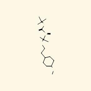 C=[N+](C(=O)OC(C)(C)C)C(C)(C)OCCC1CCC(OC)CC1